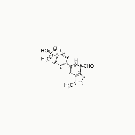 Cc1ccc2n1C=C(c1ccc(C(C)(C)O)cc1)NC2C=O